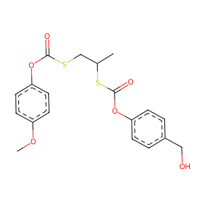 COc1ccc(OC(=O)SCC(C)SC(=O)Oc2ccc(CO)cc2)cc1